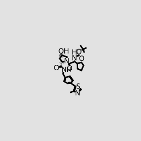 Cc1ncsc1-c1ccc(CNC(=O)[C@@H]2C[C@@H](O)CN2C(=O)C(NC(=O)OC(C)(C)C)C2CCCC2)cc1